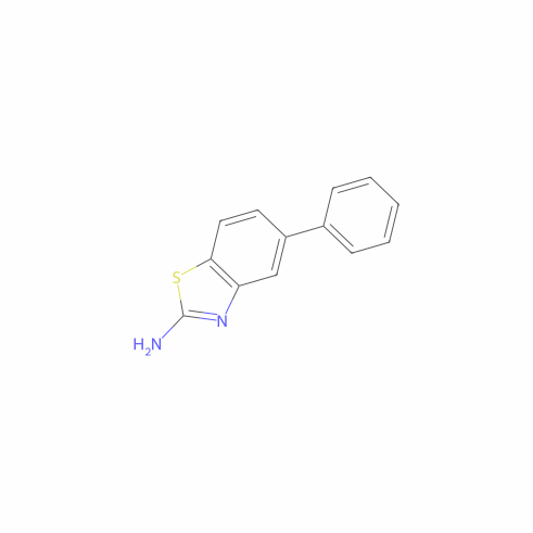 Nc1nc2cc(-c3ccccc3)ccc2s1